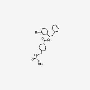 CC(C)(C)OC(=O)NCC1CCC(C(=O)NC(Cc2ccccc2)c2cccc(Br)c2)CC1